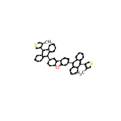 Cc1cscc1-c1c2ccccc2c(-c2ccc3c(c2)oc2ccc(-c4c5ccccc5c(-c5cscc5C)c5ccccc45)cc23)c2ccccc12